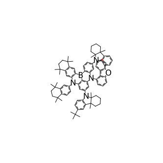 CC(C)(C)c1ccc2c(c1)C1(C)CCCCC1(C)N2c1cc2c3c(c1)N(c1cccc4oc5ccccc5c14)c1cc(N4c5ccccc5C5(C)CCCCC45C)ccc1B3c1cc3c(cc1N2c1ccc2c(c1)C(C)(C)CCC2(C)C)C(C)(C)CCC3(C)C